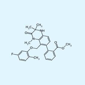 COC(=O)c1ccccc1-c1ccc2c(c1COc1cc(F)ccc1C)N(C)C(=O)C(C)(C)N2